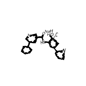 O=C(Nc1cc(-c2ccccn2)ccc1C(=O)O)c1cncc(-c2ccccc2)c1.[NaH]